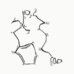 C[N+](C)(C)Cc1ccccc1.O=C([O-])CCCCC(=O)O